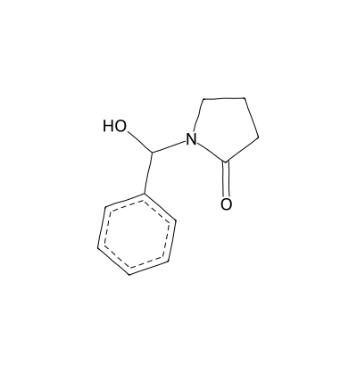 O=C1CCCN1C(O)c1ccccc1